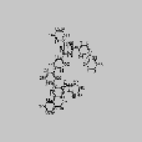 c1ccc(-c2cccc(-c3nc(-c4ccccc4)nc(-c4ccc(-c5cccc(-c6nc7c8ccccc8ccc7c7c6sc6ccccc67)c5)cc4)n3)c2)cc1